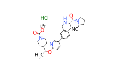 CC(C)OC(=O)N1CCC([C@@H](C)Oc2ccc(-c3ccc4c(c3)CN[C@H](C(=O)N3CCC[C@H]3C#N)C4)cn2)CC1.Cl